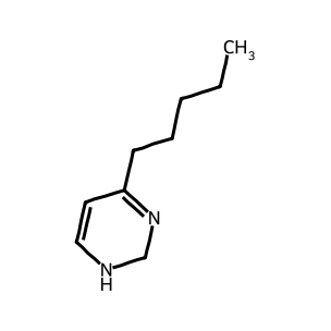 CCCCCC1=NCNC=C1